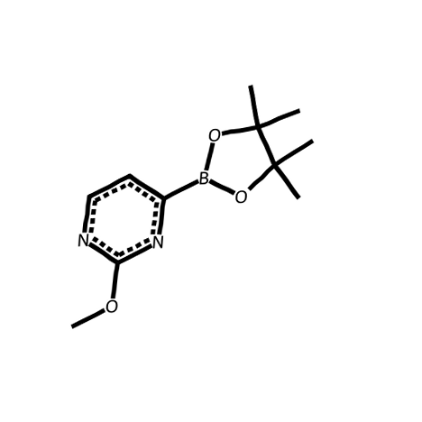 COc1nccc(B2OC(C)(C)C(C)(C)O2)n1